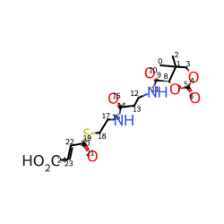 CC1(C)COC(=O)O[C@H]1C(=O)NCCC(=O)NCCSC(=O)/C=C/C(=O)O